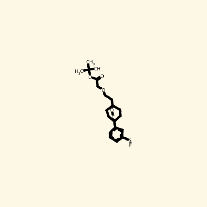 CC(C)(C)OC(=O)COCCC12CCC(c3cccc(SF)c3)(CC1)CO2